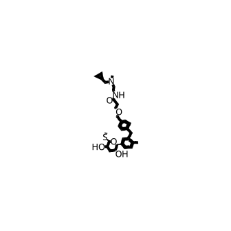 CS[C@H]1O[C@@H](c2ccc(C)c(Cc3ccc(COCCC(=O)NCCN(C)CC4CC4)cc3)c2)C(O)CC1O